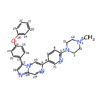 CN1CCN(c2ccc(-c3cn4c(-c5ccc(Oc6ccccc6)cc5)cnc4cn3)cn2)CC1